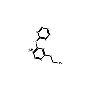 CCCCCCCCCCCCc1cccc(Oc2ccccc2)c1.[NaH]